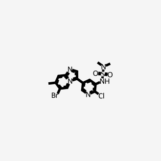 Cc1cc2ncc(-c3cnc(Cl)c(NS(=O)(=O)N(C)C)c3)n2cc1Br